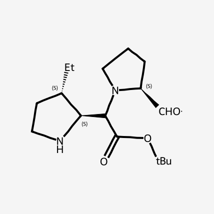 CC[C@H]1CCN[C@@H]1C(C(=O)OC(C)(C)C)N1CCC[C@H]1[C]=O